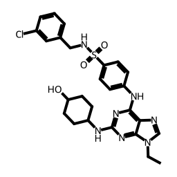 CCn1cnc2c(Nc3ccc(S(=O)(=O)NCc4cccc(Cl)c4)cc3)nc(NC3CCC(O)CC3)nc21